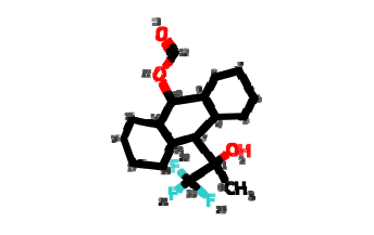 CC(O)(C1C2CCCCC2C(OC=O)C2CCCCC21)C(F)(F)F